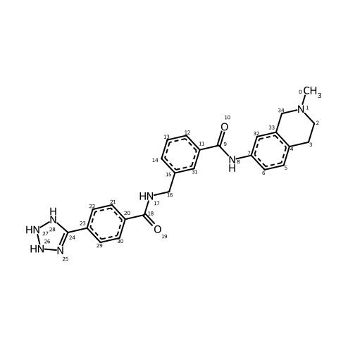 CN1CCc2ccc(NC(=O)c3cccc(CNC(=O)c4ccc(C5=NNNN5)cc4)c3)cc2C1